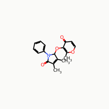 CC1=C(C)C(Oc2c(C)occc2=O)N(c2ccccc2)C1=O